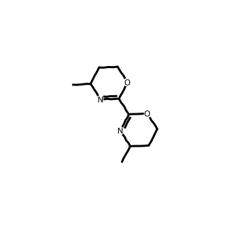 CC1CCOC(C2=NC(C)CCO2)=N1